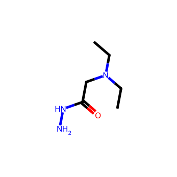 CCN(CC)CC(=O)NN